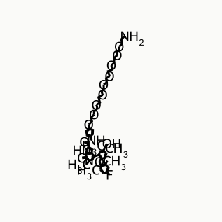 Cc1cc(F)cc(C)c1Oc1ccc(C(C)(C)O)cc1-c1cn(C)c(=O)c2[nH]c(C(=O)Nc3ccc(OCCOCCOCCOCCOCCOCCOCCOCCOCCN)cc3)cc12